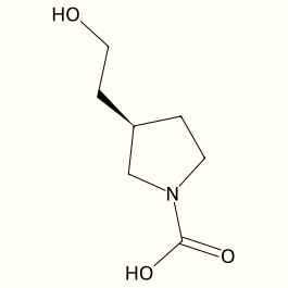 O=C(O)N1CC[C@H](CCO)C1